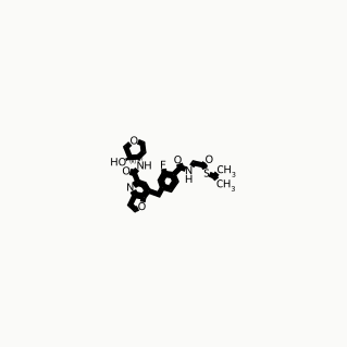 CC(C)SC(=O)CNC(=O)c1ccc(Cc2cc(C(=O)N[C@H]3CCOC[C@@H]3O)nc3c2OCC3)cc1F